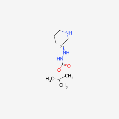 CC(C)(C)OC(=O)NN[C@H]1CCCNC1